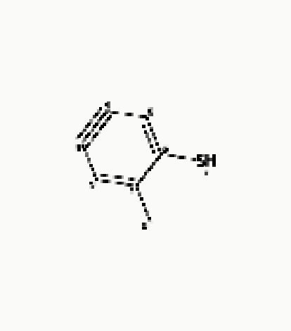 Cc1cc#ccc1S